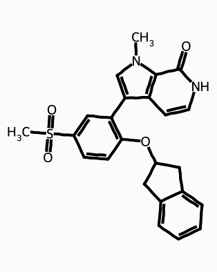 Cn1cc(-c2cc(S(C)(=O)=O)ccc2OC2Cc3ccccc3C2)c2cc[nH]c(=O)c21